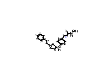 O=C(/C=C/c1cnc(N[C@@H]2CCN(CCc3ccccc3)C2)cn1)NO